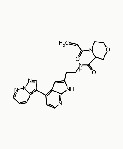 C=CC(=O)N1CCOCC1C(=O)NCCc1cc2c(-c3cnn4ncccc34)ccnc2[nH]1